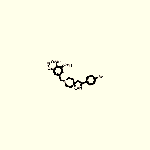 CCOc1cc(CN2CCC3(CC2)CC(c2ccc(C(C)=O)cc2)=NO3)cc(OCC)c1OC